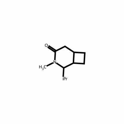 CC(C)C1C2CCC2CC(=O)N1C